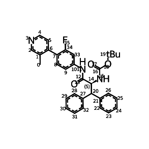 Cc1cnccc1-c1ccc(NC(=O)[C@@H](NC(=O)OC(C)(C)C)C(c2ccccc2)c2ccccc2)cc1F